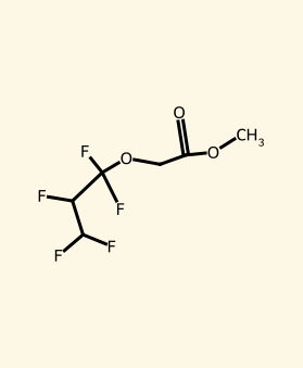 COC(=O)COC(F)(F)C(F)C(F)F